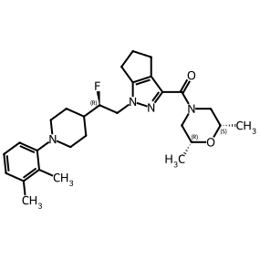 Cc1cccc(N2CCC([C@@H](F)Cn3nc(C(=O)N4C[C@@H](C)O[C@@H](C)C4)c4c3CCC4)CC2)c1C